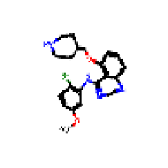 COc1ccc(Br)c(Nc2ncnc3cccc(OCC4CCNCC4)c23)c1